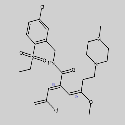 C=C(Cl)/C=C(\C=C(/CCN1CCN(C)CC1)OC)C(=O)NCc1cc(Cl)ccc1S(=O)(=O)CC